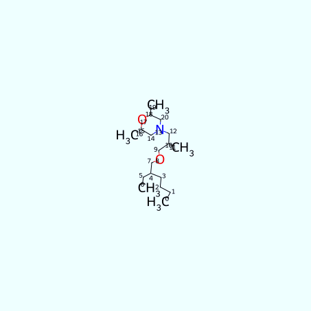 CCCCC(CC)COCC(C)CN1CC(C)OC(C)C1